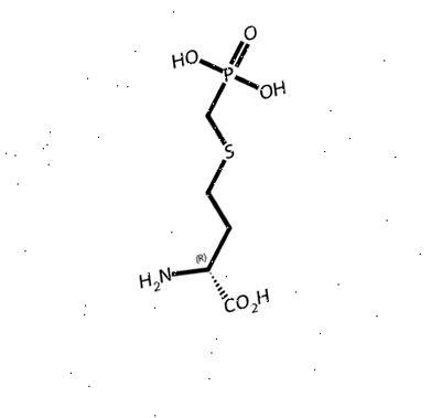 N[C@H](CCSCP(=O)(O)O)C(=O)O